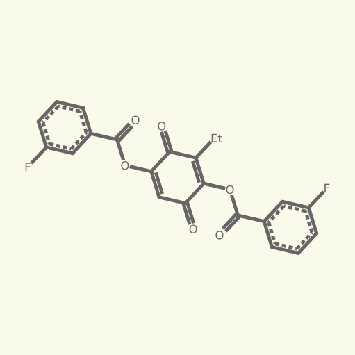 CCC1=C(OC(=O)c2cccc(F)c2)C(=O)C=C(OC(=O)c2cccc(F)c2)C1=O